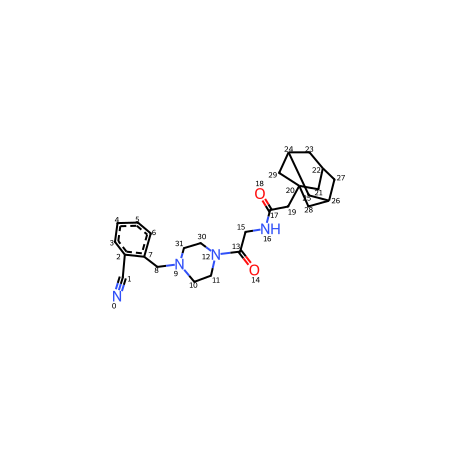 N#Cc1ccccc1CN1CCN(C(=O)CNC(=O)CC23CC4CC(CC(C4)C2)C3)CC1